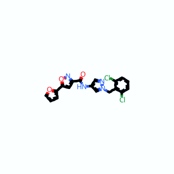 O=C(Nc1cnn(Cc2c(Cl)cccc2Cl)c1)c1cc(-c2ccco2)on1